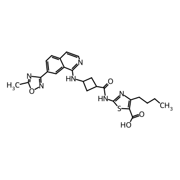 CCCCc1nc(NC(=O)C2CC(Nc3nccc4ccc(-c5noc(C)n5)cc34)C2)sc1C(=O)O